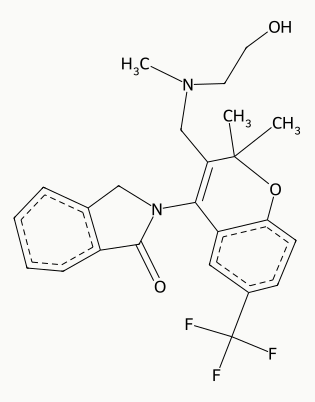 CN(CCO)CC1=C(N2Cc3ccccc3C2=O)c2cc(C(F)(F)F)ccc2OC1(C)C